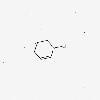 ClN1C=CCCC1